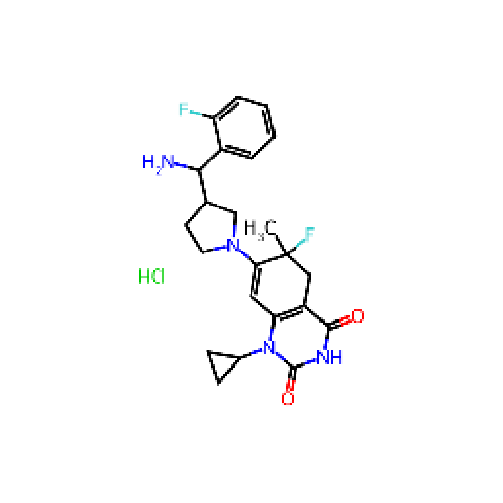 CC1(F)Cc2c(n(C3CC3)c(=O)[nH]c2=O)C=C1N1CCC(C(N)c2ccccc2F)C1.Cl